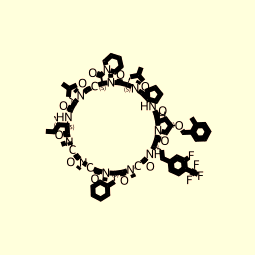 CC[C@H](C)[C@@H]1NC(=O)[C@H](CC(C)C)N(C)C(=O)C[C@@H](C(=O)N2CCCCC2)N(C)C(=O)[C@H](CC(C)C)N(C)C(=O)C2(CCCC2)NC(=O)[C@@H]2C[C@H](OCc3ccccc3C)CN2C(=O)[C@H](CCc2ccc(C(F)(F)F)c(F)c2)NC(=O)CN(C)C(=O)[C@H](CC2CCCCC2)N(C)C(=O)CN(C)C(=O)CN(C)C1=O